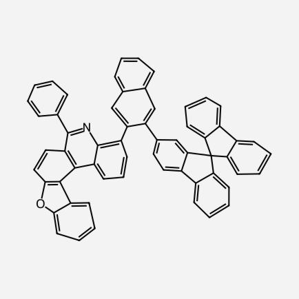 c1ccc(-c2nc3c(-c4cc5ccccc5cc4-c4ccc5c(c4)C4(c6ccccc6-c6ccccc64)c4ccccc4-5)cccc3c3c2ccc2oc4ccccc4c23)cc1